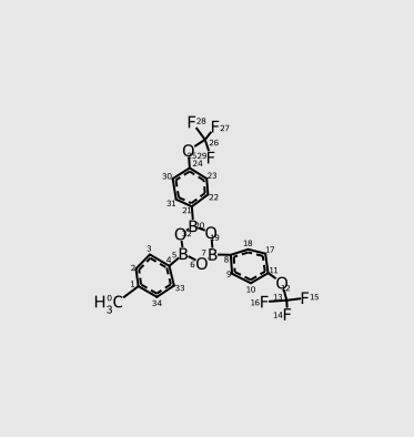 Cc1ccc(B2OB(c3ccc(OC(F)(F)F)cc3)OB(c3ccc(OC(F)(F)F)cc3)O2)cc1